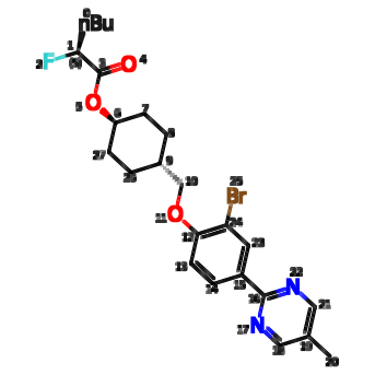 CCCC[C@H](F)C(=O)O[C@H]1CC[C@H](COc2ccc(-c3ncc(C)cn3)cc2Br)CC1